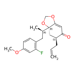 C=CC[C@H]1C[C@]2([C@H](C)Cc3ccc(OC)cc3F)OCOC2=CC1=O